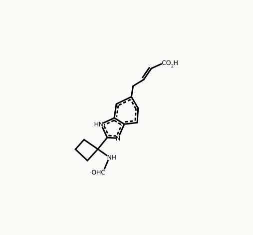 O=[C]NC1(c2nc3ccc(CC=CC(=O)O)cc3[nH]2)CCC1